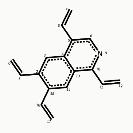 C=Cc1cc2c(C=C)cnc(C=C)c2cc1C=C